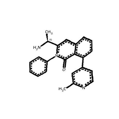 Cc1cc(-c2cccc3cc([C@H](C)N)n(-c4ccccc4)c(=O)c23)ccn1